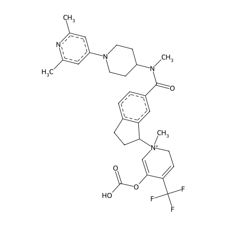 Cc1cc(N2CCC(N(C)C(=O)c3ccc4c(c3)C([N+]3(C)C=C(OC(=O)O)C(C(F)(F)F)=CC3)CC4)CC2)cc(C)n1